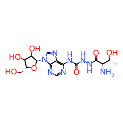 C[C@@H](O)[C@H](N)C(=O)NNC(=O)Nc1ncnc2c1ncn2[C@@H]1O[C@H](CO)[C@@H](O)[C@H]1O